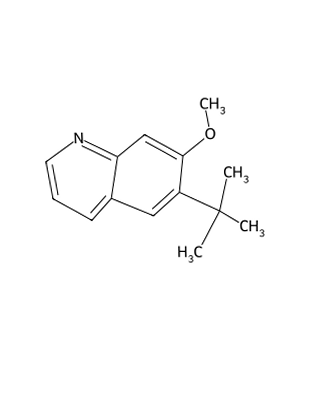 COc1cc2ncccc2cc1C(C)(C)C